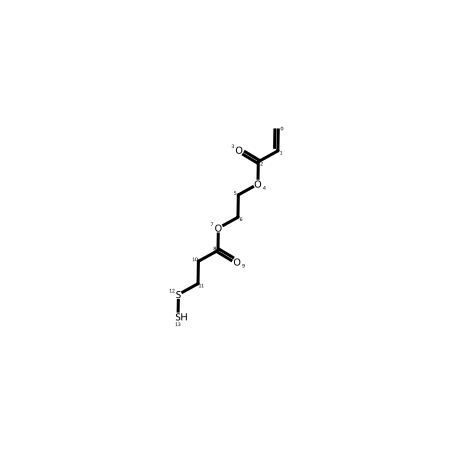 C=CC(=O)OCCOC(=O)CCSS